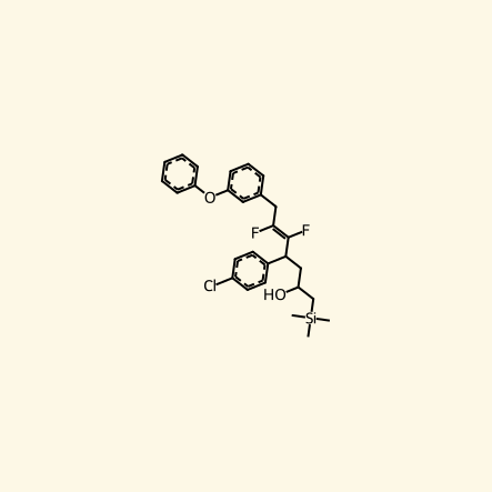 C[Si](C)(C)CC(O)CC(/C(F)=C(\F)Cc1cccc(Oc2ccccc2)c1)c1ccc(Cl)cc1